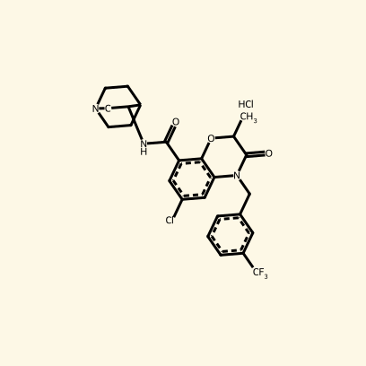 CC1Oc2c(C(=O)NC3CN4CCC3CC4)cc(Cl)cc2N(Cc2cccc(C(F)(F)F)c2)C1=O.Cl